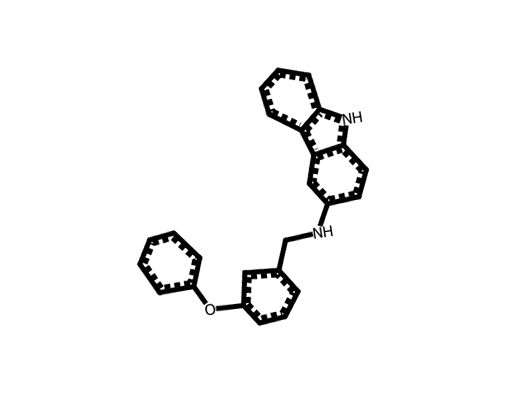 c1ccc(Oc2cccc(CNc3ccc4[nH]c5ccccc5c4c3)c2)cc1